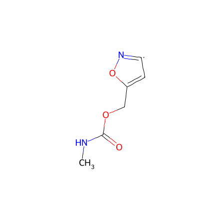 CNC(=O)OCc1c[c]no1